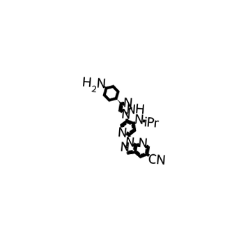 CC(C)Nc1cc(-n2ncc3cc(C#N)cnc32)ncc1-n1cc([C@H]2CC[C@@H](N)CC2)nn1